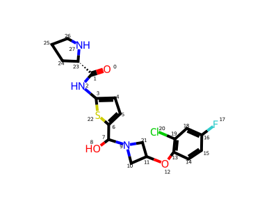 O=C(Nc1ccc(C(O)N2CC(Oc3ccc(F)cc3Cl)C2)s1)[C@@H]1CCCN1